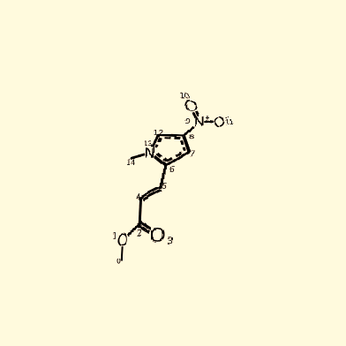 COC(=O)C=Cc1cc([N+](=O)[O-])cn1C